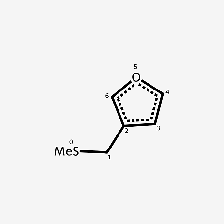 CSCc1ccoc1